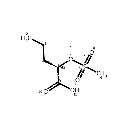 CCC[C@@H](OS(C)(=O)=O)C(=O)O